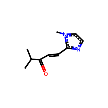 CC(C)C(=O)/C=C/c1nccn1C